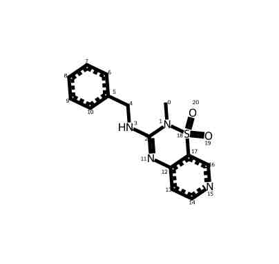 CN1C(NCc2ccccc2)=Nc2ccncc2S1(=O)=O